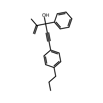 C=C(C)C(O)(C#Cc1ccc(CCC)cc1)c1ccccc1